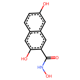 O=C(NO)c1cc2cc(O)ccc2cc1O